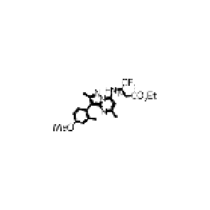 CCOC(=O)C[C@H](Nc1cc(C)nc2c(-c3ccc(OC)cc3C)c(C)nn12)C(F)(F)F